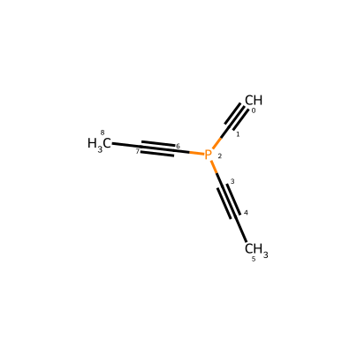 C#CP(C#CC)C#CC